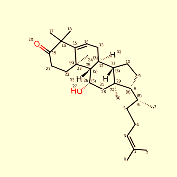 CC(C)=CCC[C@@H](C)[C@H]1CC[C@H]2[C@@H]3CC=C4C(C)(C)C(=O)CC[C@]4(C)[C@H]3[C@@H](O)C[C@]12C